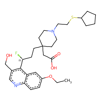 CCOc1ccc2ncc(CO)c([C@@H](F)CCC3(CC(=O)O)CCN(CCSC4CCCC4)CC3)c2c1